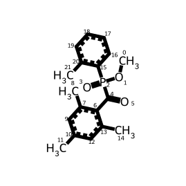 COP(=O)(C(=O)c1c(C)cc(C)cc1C)c1ccccc1C